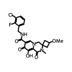 COC1CC2(C1)Cn1cc(C(=O)NCc3cccc(Cl)c3F)c(=O)c(O)c1C(=O)N2C